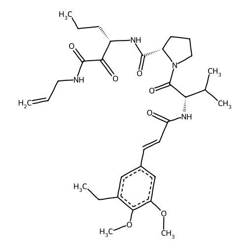 C=CCNC(=O)C(=O)[C@H](CCC)NC(=O)[C@@H]1CCCN1C(=O)[C@@H](NC(=O)/C=C/c1cc(CC)c(OC)c(OC)c1)C(C)C